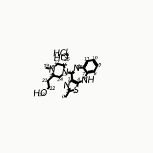 Cc1nc2c(s1)Nc1ccccc1N=C2N1CCN(C)C(CCO)C1.Cl.Cl